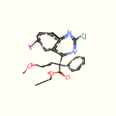 CCOC(=O)C(CCOC)(c1ccccc1)c1nc(Cl)nc2ccc(I)cc12